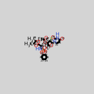 CCC(=O)O[C@@H]1[C@@H](COP(=O)(N[C@@H](C)C2OC(C)C(C)O2)Oc2ccccc2)O[C@@H](n2ccc(=O)[nH]c2=O)[C@]1(C)F